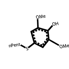 CCCCCSc1cc(OC)c(O)c(OC)c1